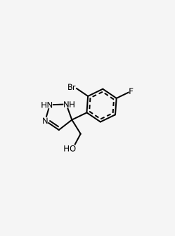 OCC1(c2ccc(F)cc2Br)C=NNN1